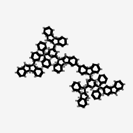 c1ccc([Si](c2ccccc2)(c2ccc3sc4ccccc4c3c2)c2nc(-n3c4ccccc4c4cc(-c5ccc6nc7n(-c8nc(-n9c%10ccccc%10n%10c%11ccccc%11nc9%10)nc([Si](c9ccccc9)(c9ccccc9)c9cccc(-n%10c%11ccccc%11n%11c%12ccccc%12nc%10%11)c9)n8)c8ccccc8n7c6c5)ccc43)nc(-n3c4ccccc4n4c5ccccc5nc34)n2)cc1